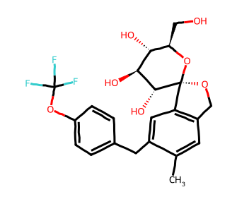 Cc1cc2c(cc1Cc1ccc(OC(F)(F)F)cc1)[C@]1(OC2)O[C@H](CO)[C@@H](O)[C@H](O)[C@H]1O